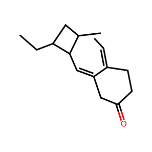 C/C=C1/CCC(=O)C/C1=C/C1C(C)CC1CC